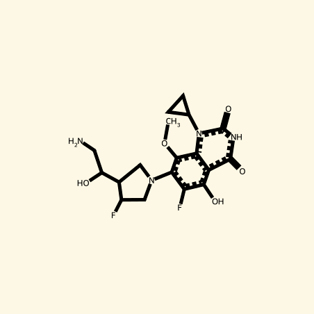 COc1c(N2CC(F)C(C(O)CN)C2)c(F)c(O)c2c(=O)[nH]c(=O)n(C3CC3)c12